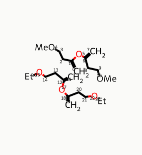 C=C(CCOC)OC(=C)CCOC.C=C(CCOCC)OC(=C)CCOCC